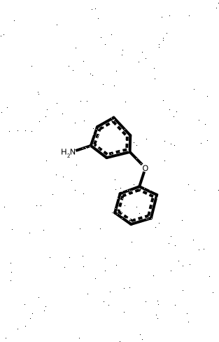 Nc1cccc(Oc2c[c]ccc2)c1